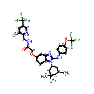 C[C@@H]1C[C@@H](n2c(Nc3ccc(OC(F)(F)F)cc3)nc3cc(OCC(=O)NCc4ncc(C(F)(F)F)cc4Cl)ccc32)CC(C)(C)C1